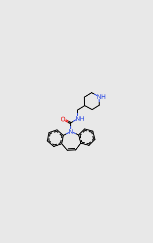 O=C(NCC1CCNCC1)N1c2ccccc2C=Cc2ccccc21